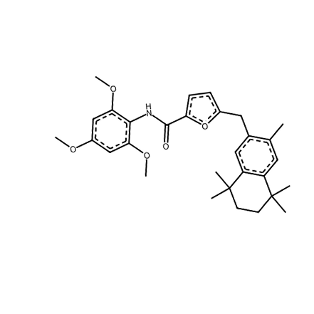 COc1cc(OC)c(NC(=O)c2ccc(Cc3cc4c(cc3C)C(C)(C)CCC4(C)C)o2)c(OC)c1